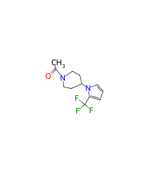 CC(=O)N1CCC(n2cccc2C(F)(F)F)CC1